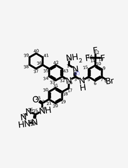 NC/N=C(/Nc1cc(Br)cc(C(F)(F)F)c1)N(Cc1ccc(C(=O)Nc2nn[nH]n2)cc1)c1ccc(C2CCCCC2)cc1